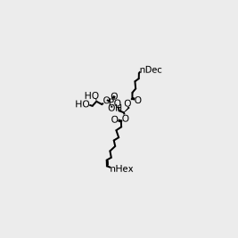 CCCCCC/C=C\CCCCCCCC(=O)O[C@H](COC(=O)CCCCCCCCCCCCCCC)COP(=O)(O)OC[C@@H](O)CO